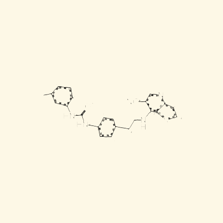 Cc1cccc(NC(=O)Nc2ccc(CCNc3c(C#N)cnc4ccsc34)cc2)c1